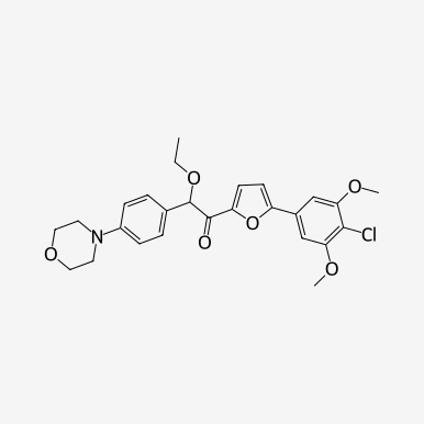 CCOC(C(=O)c1ccc(-c2cc(OC)c(Cl)c(OC)c2)o1)c1ccc(N2CCOCC2)cc1